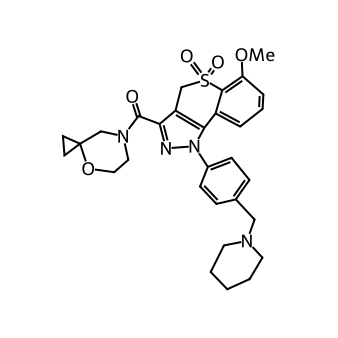 COc1cccc2c1S(=O)(=O)Cc1c(C(=O)N3CCOC4(CC4)C3)nn(-c3ccc(CN4CCCCC4)cc3)c1-2